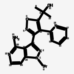 CC(C)n1nc(-c2noc(C(C)(C)O)c2-c2ccccn2)c2c(N)nccc21